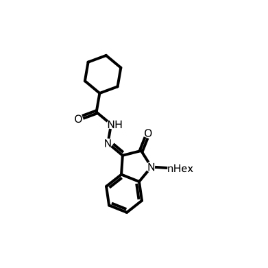 CCCCCCN1C(=O)/C(=N\NC(=O)C2CCCCC2)c2ccccc21